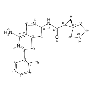 Cc1ccncc1-c1cc2cc(NC(=O)C3C[C@]34CCNC4)ncc2c(N)n1